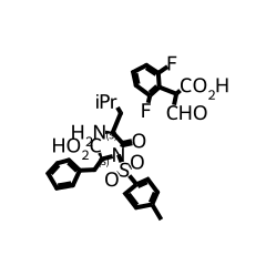 Cc1ccc(S(=O)(=O)N(C(=O)[C@@H](N)CC(C)C)[C@@H](Cc2ccccc2)C(=O)O)cc1.O=CC(C(=O)O)c1c(F)cccc1F